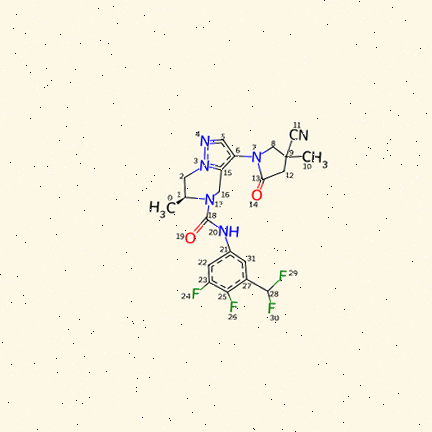 C[C@H]1Cn2ncc(N3CC(C)(C#N)CC3=O)c2CN1C(=O)Nc1cc(F)c(F)c(C(F)F)c1